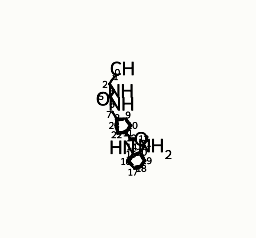 C#CCNC(=O)NCc1ccc(C(=O)Nc2ccccc2N)cc1